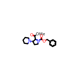 COC(=O)C1[C@H](N2CCCCC2)CCN1C(=O)OCc1ccccc1